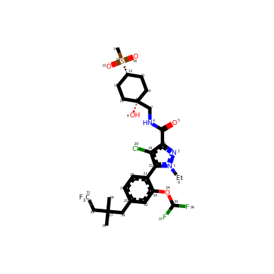 CCn1nc(C(=O)NC[C@]2(O)CC[C@@H](S(C)(=O)=O)CC2)c(Cl)c1-c1ccc(CC(C)(C)CC(F)(F)F)cc1OC(F)F